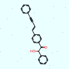 O=C(c1ccc(C=CC#Cc2ccccc2)cc1)C(O)c1ccccc1